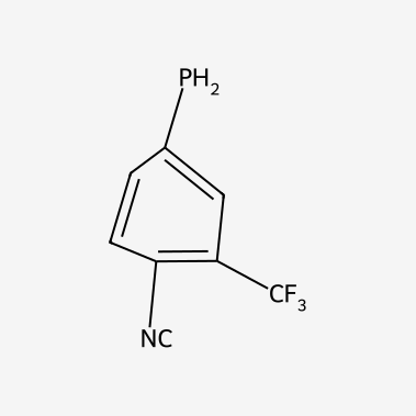 [C-]#[N+]c1ccc(P)cc1C(F)(F)F